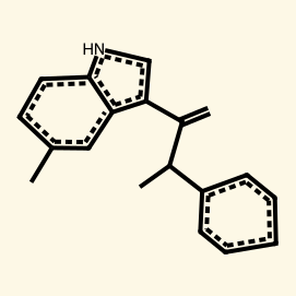 C=C(c1c[nH]c2ccc(C)cc12)C(C)c1ccccc1